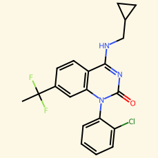 CC(F)(F)c1ccc2c(NCC3CC3)nc(=O)n(-c3ccccc3Cl)c2c1